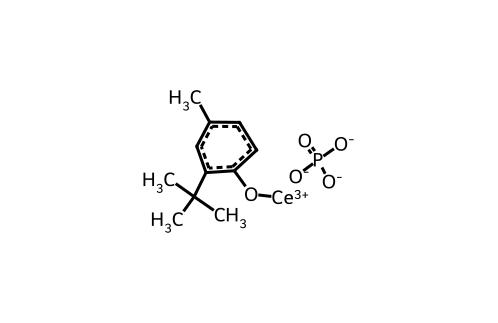 Cc1ccc([O][Ce+3])c(C(C)(C)C)c1.O=P([O-])([O-])[O-]